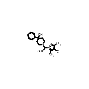 Cc1c(Cl)c(C(F)(F)F)nn1C(C=O)N1CCC(O)(c2ccccc2)CC1